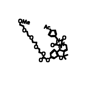 COCCOCCOCCOCCOC(=O)Oc1ccc2c(c1)OC(C)(C)C1=CCn3c(=O)n(-c4ccc(C(C)=O)cc4)c(=O)n3C12